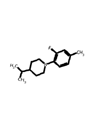 Cc1ccc(N2CCC(C(C)C)CC2)c(F)c1